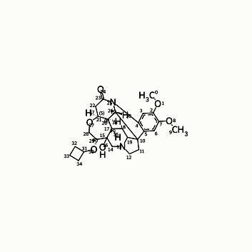 COc1cc2c(cc1OC)C13CCN4CC5(O)[C@H](CC41)[C@H]1[C@H](CC(=O)N2[C@@H]13)OC[C@H]5OC1CCC1